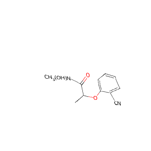 CC(Oc1ccccc1C#N)C(=O)N(C)O